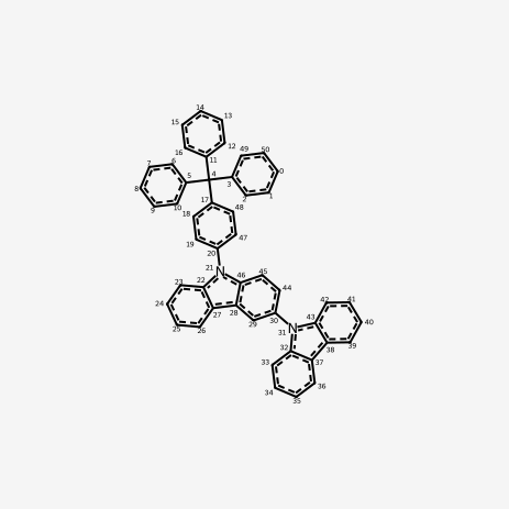 c1ccc(C(c2ccccc2)(c2ccccc2)c2ccc(-n3c4ccccc4c4cc(-n5c6ccccc6c6ccccc65)ccc43)cc2)cc1